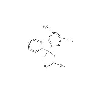 Cc1cc(C)cc([Si](Cl)(CC(C)C)c2ccccc2)c1